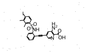 Cc1c(I)ccc(S(=O)(=O)Nc2ccccc2C#Cc2cnc(C(=O)O)c(N)c2)c1C